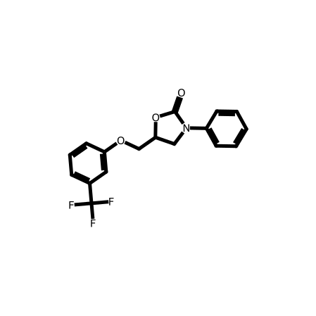 O=C1OC(COc2cccc(C(F)(F)F)c2)CN1c1ccccc1